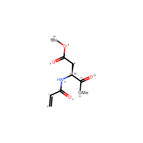 C=CC(=O)N[C@@H](CC(=O)OC(C)(C)C)C(=O)OC